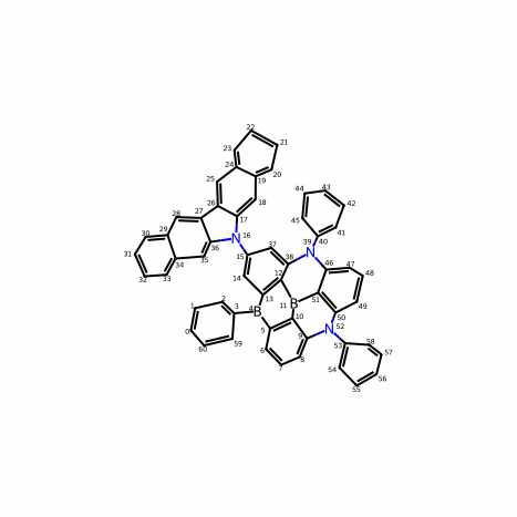 c1ccc(B2c3cccc4c3B3c5c2cc(-n2c6cc7ccccc7cc6c6cc7ccccc7cc62)cc5N(c2ccccc2)c2cccc(c23)N4c2ccccc2)cc1